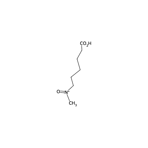 C[N+](=O)CCCCCC(=O)O